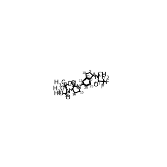 CN(C(=O)C(F)(F)F)C1CCc2cc(N3CC[C@H](N(C(=O)O)C(C)(C)C)C3=O)ccc21